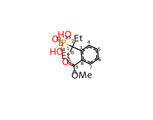 CCC(CC)(c1ccccc1C(=O)OC)P(=O)(O)O